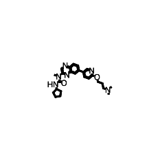 CN(C)CCCOc1ccc(-c2ccc3ncc(N(C)C(=O)NC4CCCC4)nc3c2)cn1